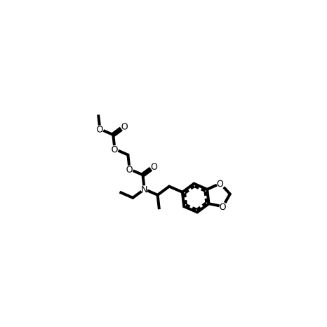 CCN(C(=O)OCOC(=O)OC)C(C)Cc1ccc2c(c1)OCO2